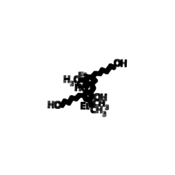 CCC(C)(C)c1cc(CCCCCCO)cc(Cc2cc(CCCCCCO)cc(C(C)(C)CC)c2O)c1O